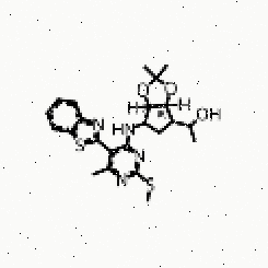 CSc1nc(C)c(-c2nc3ccccc3s2)c(NC2CC(C(C)O)[C@H]3OC(C)(C)O[C@@H]23)n1